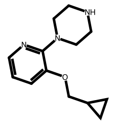 c1cnc(N2CCNCC2)c(OCC2CC2)c1